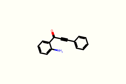 Nc1ccccc1C(=O)C#Cc1ccccc1